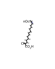 CCCCCCCC/C=C\CCCCCCCCCCC(Cl)C(=O)O